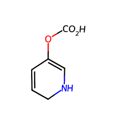 O=C(O)OC1=CNCC=C1